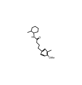 COc1ccc(CCCC(=O)NC2CCCCC2C)cc1C